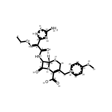 CCON=C(C(=O)NC1C(=O)N2C(C(=O)[O-])=C(C[n+]3ccc(SC)cc3)CS[C@@H]12)c1nsc(N)n1